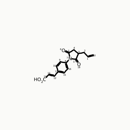 C=CCC1CC(=O)N(c2ccc(C=CC(=O)O)cc2)C1=O